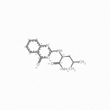 CC(C)C[C@H](Nc1nc2ccccc2c(=O)o1)C(N)=O